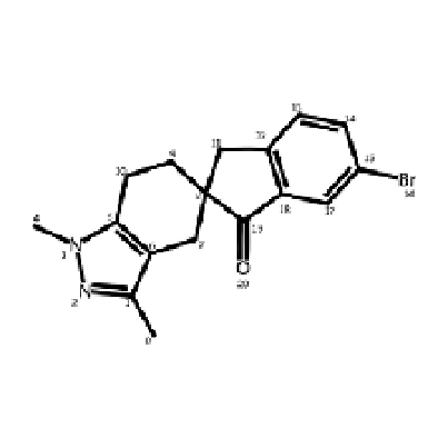 Cc1nn(C)c2c1CC1(CC2)Cc2ccc(Br)cc2C1=O